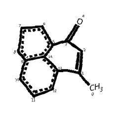 CC1=CC(=O)c2cccc3cccc1c23